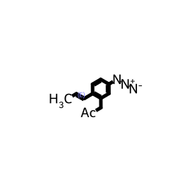 C/C=C/c1ccc(N=[N+]=[N-])cc1CC(C)=O